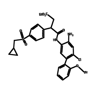 CCOC(=O)CC(C(=O)Nc1cc(-c2ccccc2OC(C)C)c(Cl)cc1N)c1ccc(S(=O)(=O)CC2CC2)cc1